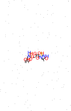 Cc1cn([C@H]2O[C@@H](CO[PH](=O)N[C@@H](C)C(=O)OC(C)C)C(O)[C@H]2O)c(=S)[nH]c1=O